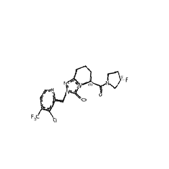 O=C([C@@H]1CCCc2nn(Cc3nccc(C(F)(F)F)c3Cl)c(=O)n21)N1CC[C@H](F)C1